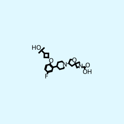 CC(C)(O)C1CC(Oc2ccc(F)cc2C2CCN([C@@H]3COC4(C3)CN(C(=O)O)C4)CC2)C1